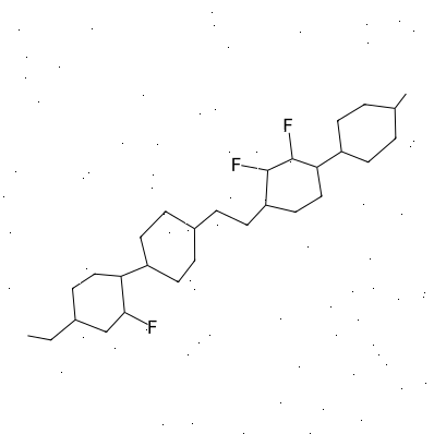 CCC1CCC(C2CCC(CCC3CCC(C4CCC(C)CC4)C(F)C3F)CC2)C(F)C1